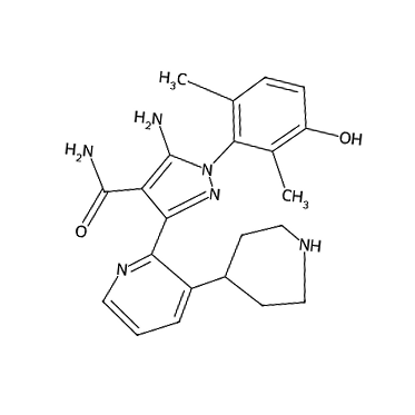 Cc1ccc(O)c(C)c1-n1nc(-c2ncccc2C2CCNCC2)c(C(N)=O)c1N